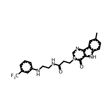 Cc1ccc2[nH]c3c(=O)n(CCC(=O)NCCNc4cccc(C(F)(F)F)c4)cnc3c2c1